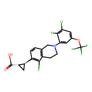 O=C(O)[C@H]1C[C@@H]1c1ccc2c(c1F)CCN(c1cc(OC(F)(F)F)cc(Cl)c1F)C2